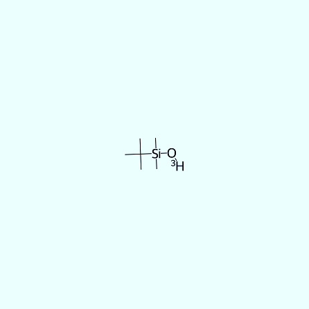 [3H]O[Si](C)(C)C(C)(C)C